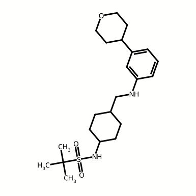 CC(C)(C)S(=O)(=O)NC1CCC(CNc2cccc(C3CCOCC3)c2)CC1